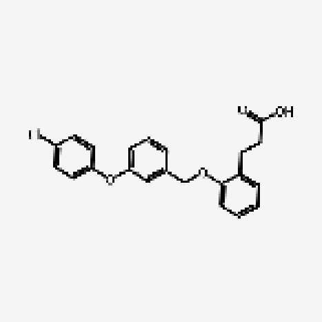 O=C(O)CCc1ccccc1OCc1cccc(Oc2ccc(Cl)cc2)c1